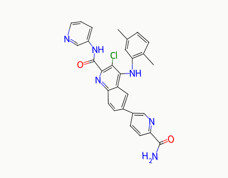 Cc1ccc(C)c(Nc2c(Cl)c(C(=O)Nc3cccnc3)nc3ccc(-c4ccc(C(N)=O)nc4)cc23)c1